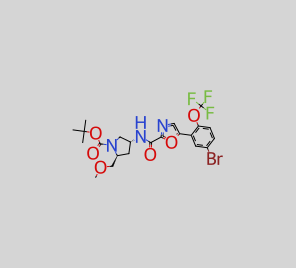 COC[C@@H]1C[C@@H](NC(=O)c2ncc(-c3cc(Br)ccc3OC(F)(F)F)o2)CN1C(=O)OC(C)(C)C